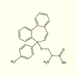 Cc1ccc(C2(SCC(N)C(=O)O)C=Cc3ccccc3-c3ccccc32)cc1